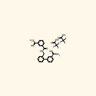 N=C(N)c1cccc(C(=O)NCc2ccccc2-c2cccc(C(=N)N)c2)c1.O=C(O)C(F)(F)F.O=C(O)C(F)(F)F